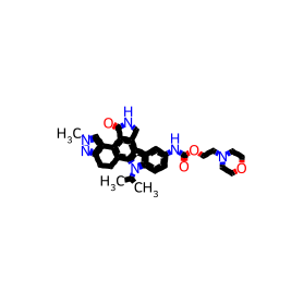 CC(C)n1c2ccc(NC(=O)OCCN3CCOCC3)cc2c2c3c(c4c(c21)CCc1nn(C)cc1-4)C(=O)NC3